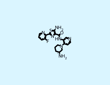 Nc1sc(-c2ncccc2F)nc1C(=O)Nc1cnccc1N1CCC[C@H](N)C1